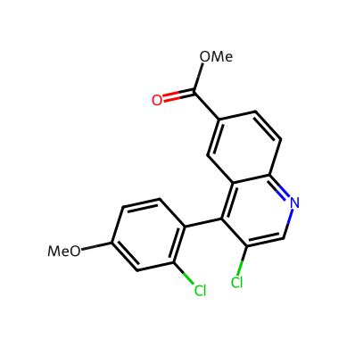 COC(=O)c1ccc2ncc(Cl)c(-c3ccc(OC)cc3Cl)c2c1